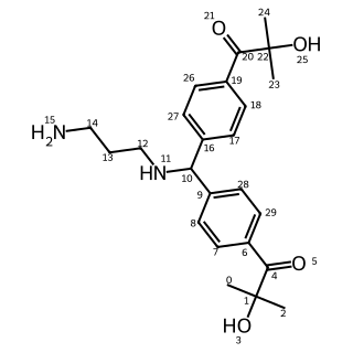 CC(C)(O)C(=O)c1ccc(C(NCCCN)c2ccc(C(=O)C(C)(C)O)cc2)cc1